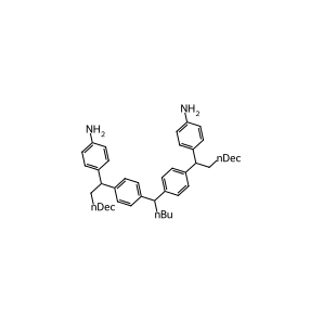 CCCCCCCCCCCC(c1ccc(N)cc1)c1ccc(C(CCCC)c2ccc(C(CCCCCCCCCCC)c3ccc(N)cc3)cc2)cc1